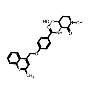 Cc1cc(COc2ccc(C(=O)N[C@@H]3C(=O)N(O)CC[C@@H]3C(=O)O)cc2)c2ccccc2n1